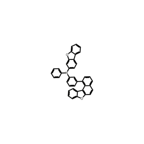 c1ccc(N(c2cccc(-c3cccc4ccc5oc6ccccc6c5c34)c2)c2ccc3c(c2)oc2ccccc23)cc1